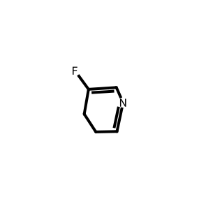 FC1=CN=CCC1